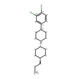 CCC[C@H]1CC[C@H]([SiH]2CCC(c3ccc(F)c(F)c3)CC2)CC1